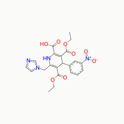 CCOC(=O)C1=C(Cn2ccnc2)NC(C(=O)O)=C(C(=O)OCC)C1c1cccc([N+](=O)[O-])c1